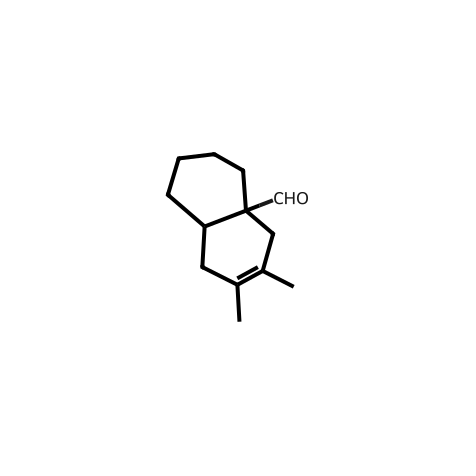 CC1=C(C)CC2(C=O)CCCCC2C1